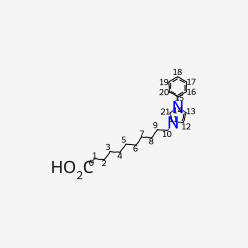 O=C(O)CCCCCCCCCCN1C=CN(c2ccccc2)C1